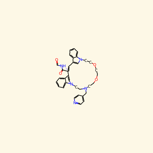 O=CNC(=O)/C1=C/c2cn(c3ccccc23)CCOCCOCCN(Cc2ccncc2)CCn2cc1c1ccccc12